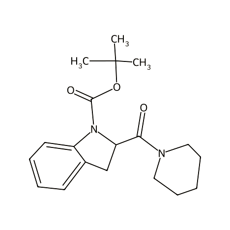 CC(C)(C)OC(=O)N1c2ccccc2CC1C(=O)N1CCCCC1